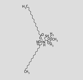 CCCCCCCCCCCCCCCC(=O)C[C@](O)(COC(=O)CCCCCCCCCCCCCCC)N[C@@H](CS)C(=O)OC(C)(C)C